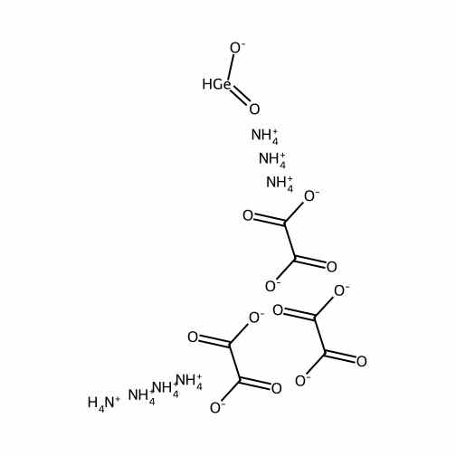 O=C([O-])C(=O)[O-].O=C([O-])C(=O)[O-].O=C([O-])C(=O)[O-].[NH4+].[NH4+].[NH4+].[NH4+].[NH4+].[NH4+].[NH4+].[O]=[GeH][O-]